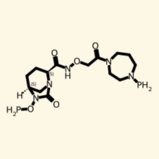 O=C(NOCC(=O)N1CCCN(P)CC1)[C@@H]1CC[C@H]2CN1C(=O)N2OP